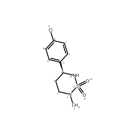 CN1CC[C@@H](c2ccc(Cl)cc2)NS1(=O)=O